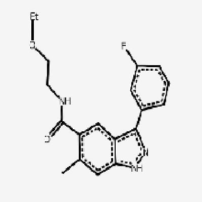 CCOCCNC(=O)c1cc2c(-c3cccc(F)c3)n[nH]c2cc1C